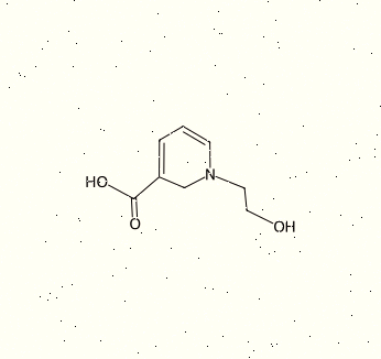 O=C(O)C1=CC=CN(CCO)C1